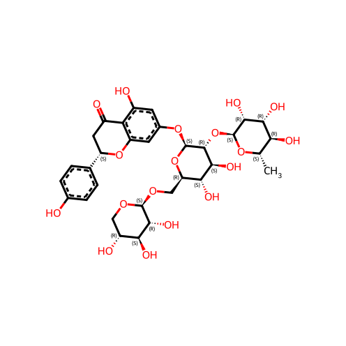 C[C@@H]1O[C@@H](O[C@H]2[C@H](Oc3cc(O)c4c(c3)O[C@H](c3ccc(O)cc3)CC4=O)O[C@H](CO[C@@H]3OC[C@@H](O)[C@H](O)[C@H]3O)[C@@H](O)[C@@H]2O)[C@H](O)[C@H](O)[C@H]1O